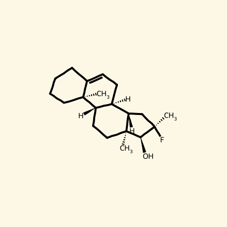 C[C@]12CC[C@H]3[C@@H](CC=C4CCCC[C@@]43C)[C@@H]1C[C@@](C)(F)[C@H]2O